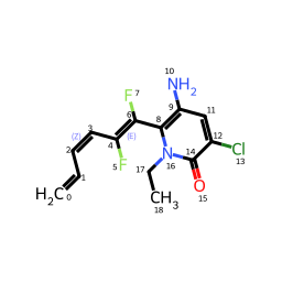 C=C/C=C\C(F)=C(/F)c1c(N)cc(Cl)c(=O)n1CC